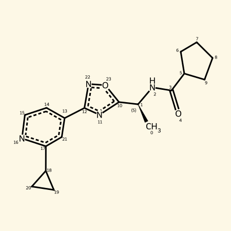 C[C@H](NC(=O)C1CCCC1)c1nc(-c2ccnc(C3CC3)c2)no1